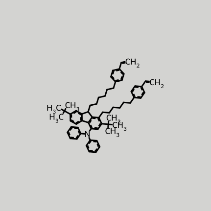 C=Cc1ccc(CCCCCCc2c(C(C)(C)C)cc(N(c3ccccc3)c3ccccc3)c3c2C(CCCCCCc2ccc(C=C)cc2)c2cc(C(C)(C)C)ccc2-3)cc1